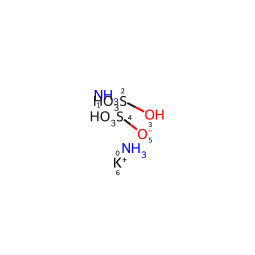 N.N.O=S(=O)(O)O.O=S(=O)([O-])O.[K+]